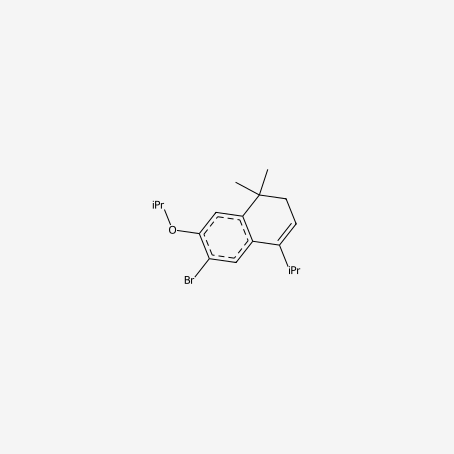 CC(C)Oc1cc2c(cc1Br)C(C(C)C)=CCC2(C)C